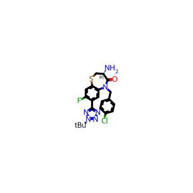 CC(C)(C)n1nnc(-c2cc3c(cc2F)SC[C@H](N)C(=O)N3Cc2ccc(Cl)cc2)n1